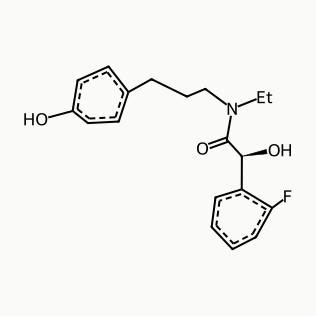 CCN(CCCc1ccc(O)cc1)C(=O)[C@@H](O)c1ccccc1F